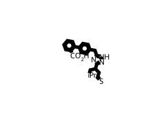 CC(C)CC(CC=S)c1n[nH]c(Cc2ccc(-c3ccccc3C(=O)O)cc2)n1